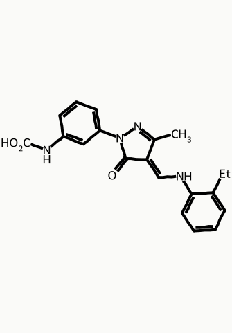 CCc1ccccc1NC=C1C(=O)N(c2cccc(NC(=O)O)c2)N=C1C